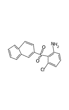 Nc1cccc(Cl)c1S(=O)(=O)c1ccc2ccccc2c1